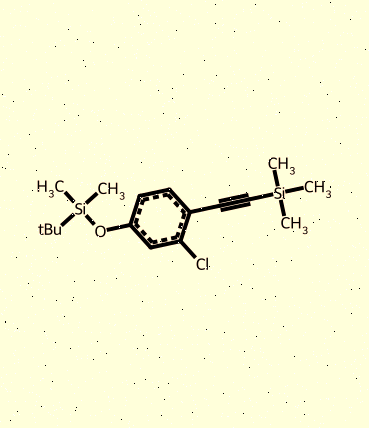 CC(C)(C)[Si](C)(C)Oc1ccc(C#C[Si](C)(C)C)c(Cl)c1